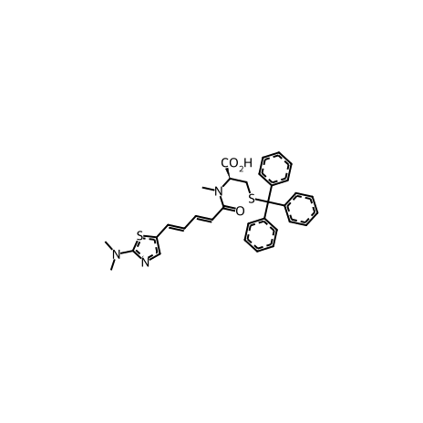 CN(C)c1ncc(/C=C/C=C/C(=O)N(C)[C@H](CSC(c2ccccc2)(c2ccccc2)c2ccccc2)C(=O)O)s1